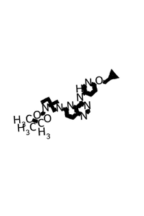 CC(C)(C)OC(=O)N1CCC12CN(c1ccc3ncnc(Nc4ccc(OCC5CC5)nc4)c3n1)C2